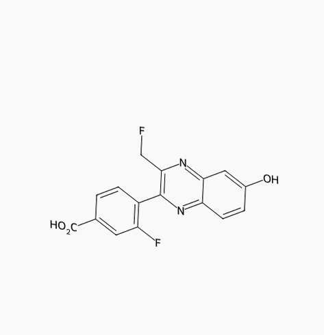 O=C(O)c1ccc(-c2nc3ccc(O)cc3nc2CF)c(F)c1